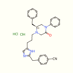 Cl.Cl.N#Cc1ccc(Cc2ncc(CCCN3CC(=O)N(c4ccccc4)C[C@@H]3Cc3ccccc3)[nH]2)cc1